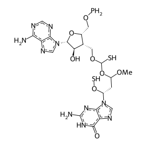 COC(C[C@@H](OS)n1cnc2c(=O)[nH]c(N)nc21)OC(S)OC[C@@H]1[C@@H](O)[C@H](n2cnc3c(N)ncnc32)O[C@@H]1COP